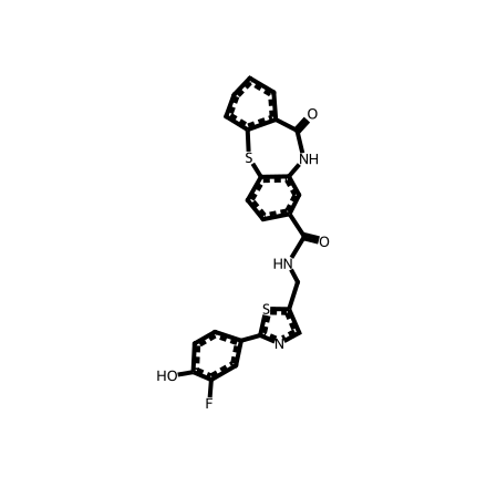 O=C(NCc1cnc(-c2ccc(O)c(F)c2)s1)c1ccc2c(c1)NC(=O)c1ccccc1S2